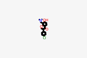 CN(C)Cc1c(O)ccc2c(=O)c(-c3ccc(Cl)cc3)coc12